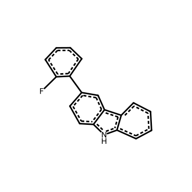 Fc1ccccc1-c1ccc2[nH]c3ccccc3c2c1